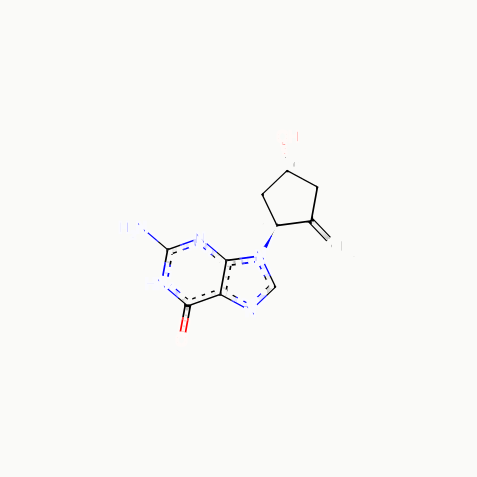 C=C1C[C@@H](O)C[C@@H]1n1cnc2c(=O)[nH]c(N)nc21